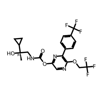 C[C@](O)(CNC(=O)Oc1cnc(OCC(F)(F)F)c(-c2ccc(C(F)(F)F)cc2)n1)C1CC1